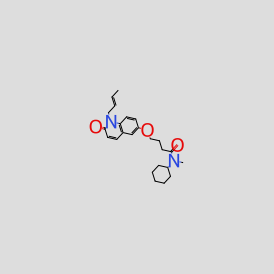 CC=CCn1c(=O)ccc2cc(OCCCC(=O)N(C)C3CCCCC3)ccc21